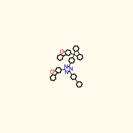 c1ccc(-c2ccc(-c3nc(-c4ccc(C5(c6ccc7oc8ccccc8c7c6)c6ccccc6-c6ccccc65)cc4)nc(-c4ccc5oc6ccccc6c5c4)n3)cc2)cc1